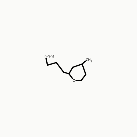 CCCCCCCCC1CC(C)CCO1